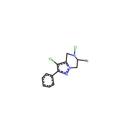 CC(C)C1Cn2nc(-c3ccccc3)c(Cl)c2CN1Cl